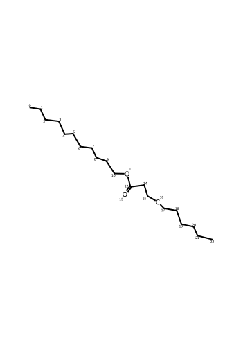 CCCCCCCCCCCOC(=O)CCCCCCCCC